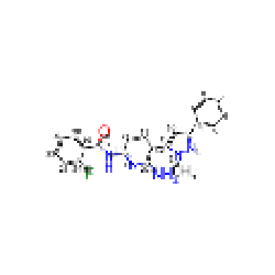 Cn1nc(-c2ccccc2)cc1-c1ccc(NC(=O)c2ccccc2F)nc1N